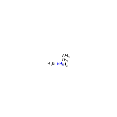 B.C.N.[AlH3].[SiH4]